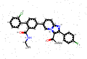 CNC(=O)c1c(-c2ccc(F)cc2)nc2ccc(-c3ccc(-c4ccccc4Cl)c(C(=O)NCC(C)C)c3)cn12